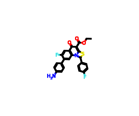 CCOC(=O)c1c2n(c3cc(-c4ccc(N)cc4)c(F)cc3c1=O)C(c1ccc(F)cc1)S2